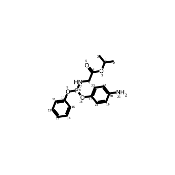 CC(C)OC(=O)CNP(Oc1ccccc1)Oc1ccc(N)cc1